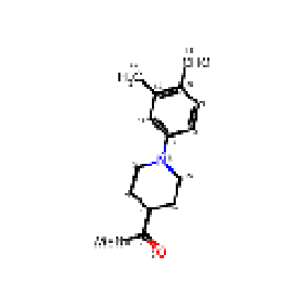 CNC(=O)C1CCN(c2ccc(C=O)c(C)c2)CC1